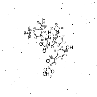 COC(=O)c1cc(-c2ccc(O)c(-c3ccc(N4CCC4)nc3CN3C(=O)O[C@H](c4cc(C(F)(F)F)cc(C(F)(F)F)c4)[C@@H]3C)c2)no1